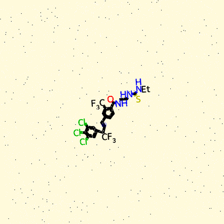 CCNC(=S)NCCNC(=O)c1ccc(/C=C/C(c2cc(Cl)c(Cl)c(Cl)c2)C(F)(F)F)cc1C(F)(F)F